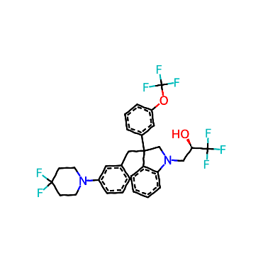 O[C@H](CN1CC(Cc2cccc(N3CCC(F)(F)CC3)c2)(c2cccc(OC(F)(F)F)c2)c2ccccc21)C(F)(F)F